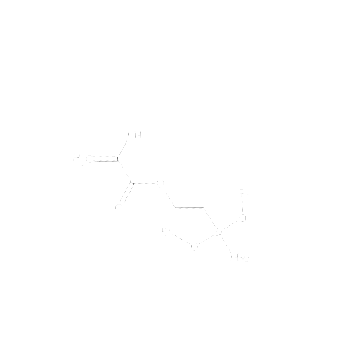 C=C(C)C(=O)OCC[Si](CCCC)(OCC)OCC